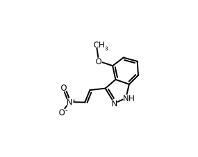 COc1cccc2[nH]nc(C=C[N+](=O)[O-])c12